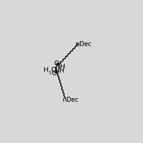 CCCCCCCCCCCCCCCCCCCCCCCCCC(=O)NCC(C)NC(=O)CCCCCCCCCCCCCCCCCCCCCCCCC